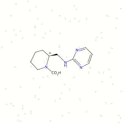 O=C(O)N1CCCC[C@H]1CNc1ncccn1